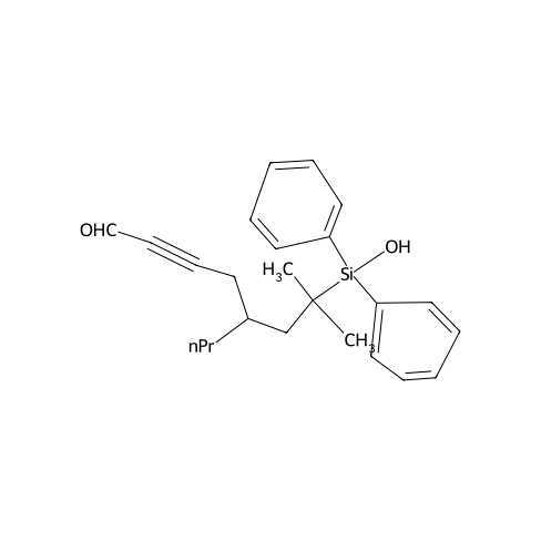 CCCC(CC#CC=O)CC(C)(C)[Si](O)(c1ccccc1)c1ccccc1